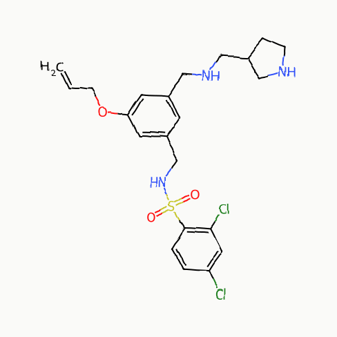 C=CCOc1cc(CNCC2CCNC2)cc(CNS(=O)(=O)c2ccc(Cl)cc2Cl)c1